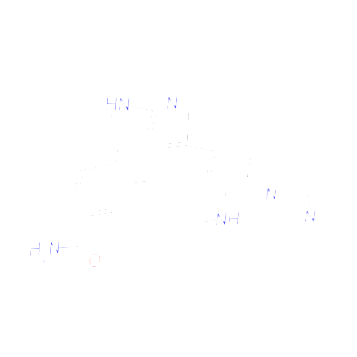 CNc1cc(-c2cnc3[nH]cc(-c4ccc(C(N)=O)c(C)c4C)c3c2)ccc1N1CCN(C)CC1